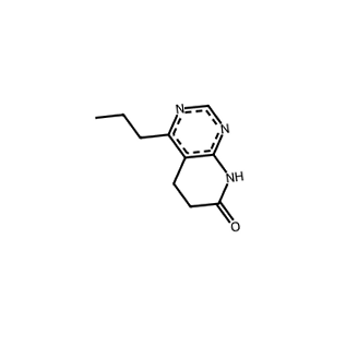 CCCc1ncnc2c1CCC(=O)N2